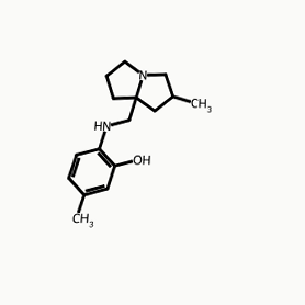 Cc1ccc(NCC23CCCN2CC(C)C3)c(O)c1